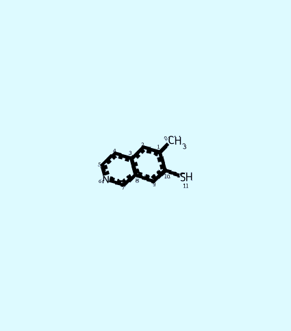 Cc1cc2ccncc2cc1S